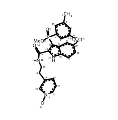 COP(=O)(c1cc(C)cc(C)c1)c1c(C(=O)NCCc2ccc[n+]([O-])c2)[nH]c2ccc(Cl)cc12